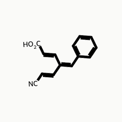 N#CC=CC(C=CC(=O)O)=Cc1ccccc1